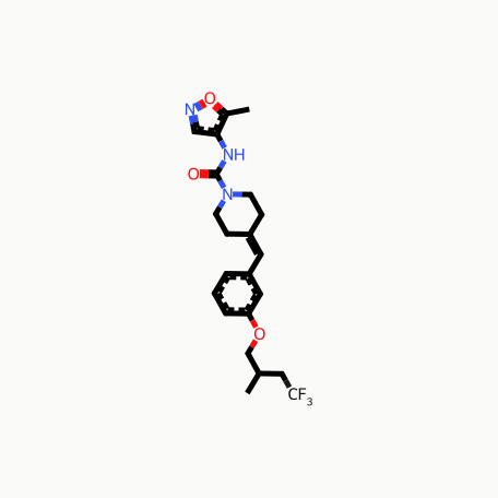 Cc1oncc1NC(=O)N1CCC(=Cc2cccc(OCC(C)CC(F)(F)F)c2)CC1